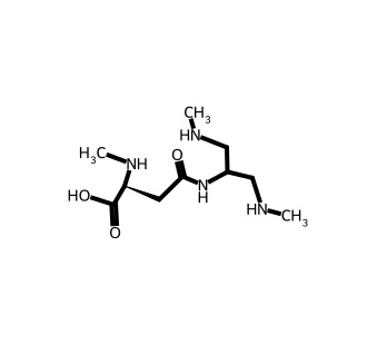 CNCC(CNC)NC(=O)C[C@H](NC)C(=O)O